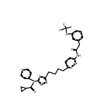 O=C(Cc1cccc(OC(F)(F)F)c1)Nc1ccc(CCCCc2nnc(N(C(=O)C3CC3)c3ccncc3)s2)nn1